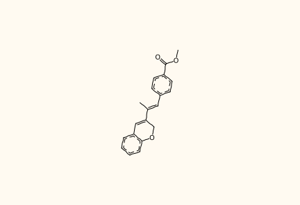 COC(=O)c1ccc(/C=C(\C)C2=Cc3ccccc3OC2)cc1